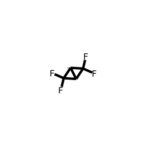 FC1(F)[C]2C1C2(F)F